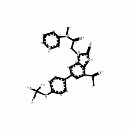 CC(=O)c1cc(-c2ccc(OC(F)(F)F)cc2)cc2c1oc(=O)n2CC(=O)N(C)c1cccnc1